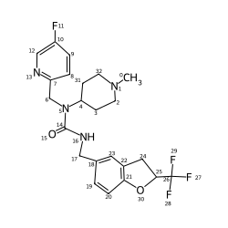 CN1CCC(N(Cc2ccc(F)cn2)C(=O)NCc2ccc3c(c2)CC(C(F)(F)F)O3)CC1